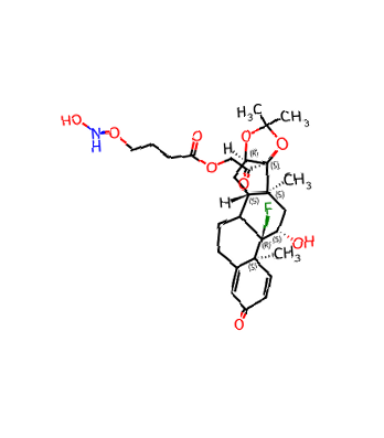 CC1(C)O[C@@H]2C[C@H]3C4CCC5=CC(=O)C=C[C@]5(C)[C@@]4(F)[C@@H](O)C[C@]3(C)[C@]2(C(=O)COC(=O)CCCONO)O1